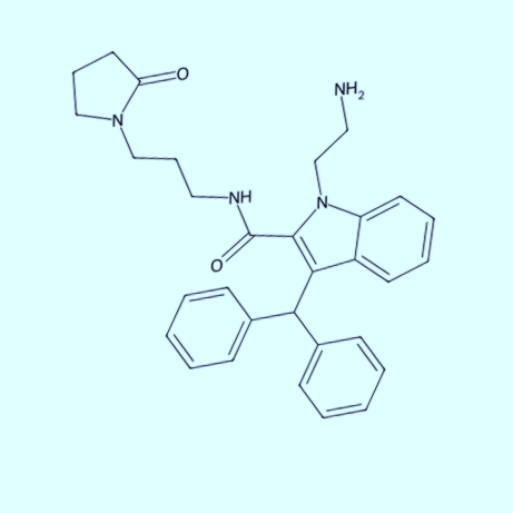 NCCn1c(C(=O)NCCCN2CCCC2=O)c(C(c2ccccc2)c2ccccc2)c2ccccc21